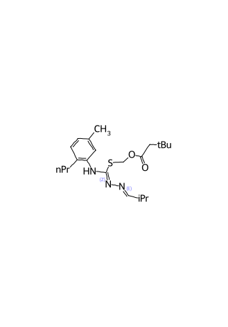 CCCc1ccc(C)cc1N/C(=N/N=C/C(C)C)SCOC(=O)CC(C)(C)C